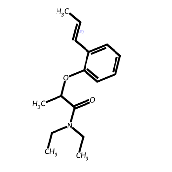 C/C=C/c1ccccc1OC(C)C(=O)N(CC)CC